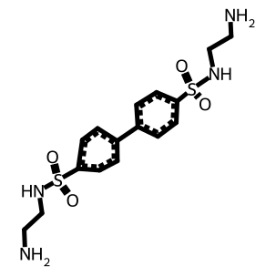 NCCNS(=O)(=O)c1ccc(-c2ccc(S(=O)(=O)NCCN)cc2)cc1